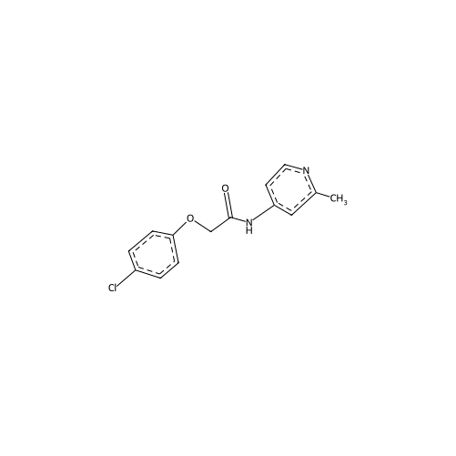 Cc1cc(NC(=O)COc2ccc(Cl)cc2)ccn1